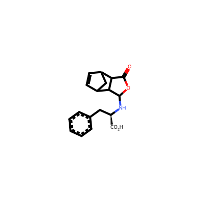 O=C1OC(N[C@H](Cc2ccccc2)C(=O)O)C2C3C=CC(C3)C12